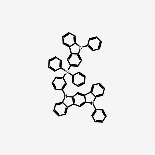 c1ccc(-n2c3ccccc3c3cc([Si](c4ccccc4)(c4ccccc4)c4cccc(-n5c6ccccc6c6cc7c(cc65)c5ccccc5n7-c5ccccc5)c4)ccc32)cc1